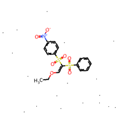 CCOC=C(S(=O)(=O)c1ccccc1)S(=O)(=O)c1ccc([N+](=O)[O-])cc1